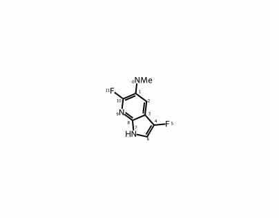 CNc1cc2c(F)c[nH]c2nc1F